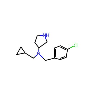 Clc1ccc(CN(CC2CC2)C2CCNC2)cc1